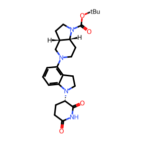 CC(C)(C)OC(=O)N1CC[C@H]2CN(c3cccc4c3CCN4[C@H]3CCC(=O)NC3=O)CC[C@H]21